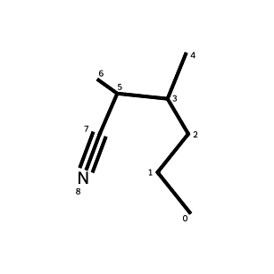 CCCC(C)C(C)C#N